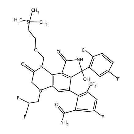 C[Si](C)(C)CCOCN1C(=O)CN(CC(F)F)c2cc(-c3c(C(N)=O)cc(F)cc3C(F)(F)F)c3c(c21)C(=O)NC3(O)c1cc(F)ccc1Cl